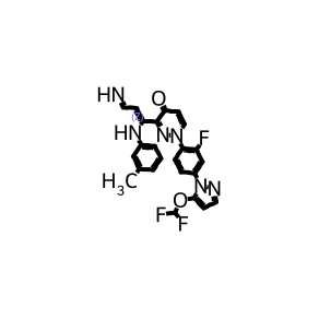 Cc1cccc(N/C(=C\C=N)c2nn(-c3ccc(-n4nccc4OC(F)F)cc3F)ccc2=O)c1